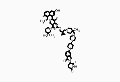 CCc1c(F)ccc2cc(O)cc(-c3ncc4c(N5CCC[C@@](C)(O)C5)nc(OCC5(CN6CCC(C)(CN7CCN(C8CCN(c9ccc%10c(c9)CN(C9CCC(=O)NC9=O)C%10=O)CC8)CC7)CC6)CC5)nc4c3F)c12